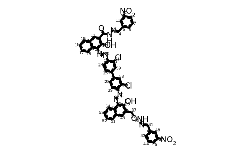 O=C(NN=Cc1cccc([N+](=O)[O-])c1)c1cc2ccccc2c(N=Nc2ccc(-c3ccc(N=Nc4c(O)c(CONN=Cc5cccc([N+](=O)[O-])c5)cc5ccccc45)c(Cl)c3)cc2Cl)c1O